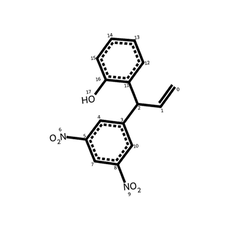 C=CC(c1cc([N+](=O)[O-])cc([N+](=O)[O-])c1)c1ccccc1O